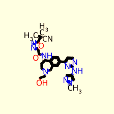 Cn1cc(Nc2nccc(-c3ccc4c(c3)CN(CCO)CC[C@@H]4NC(=O)c3nnc(C(C)(C)C#N)o3)n2)cn1